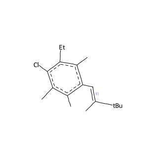 CCc1c(C)c(/C=C(\C)C(C)(C)C)c(C)c(C)c1Cl